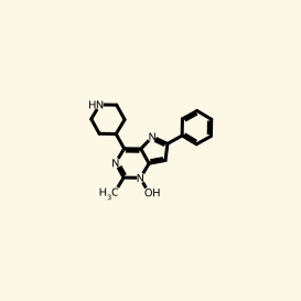 Cc1nc(C2CCNCC2)c2nc(-c3ccccc3)cc-2n1O